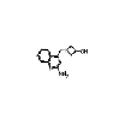 Nc1cc(CN2CC(O)C2)c2ccccc2n1